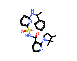 CC(Nc1cccc(S(=O)(=O)NC(=O)c2cccnc2N2CCC(C)C2(C)C)n1)c1ccccc1